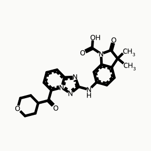 CC1(C)C(=O)N(C(=O)O)c2cc(Nc3nc4cccc(C(=O)C5CCOCC5)n4n3)ccc21